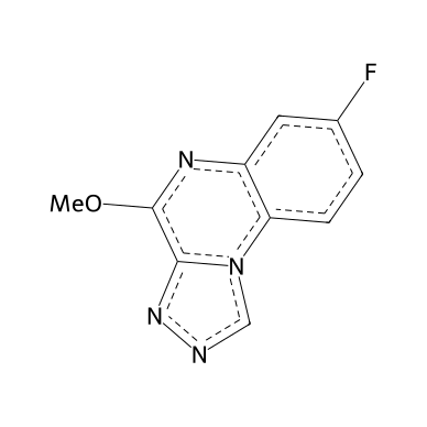 COc1nc2cc(F)ccc2n2cnnc12